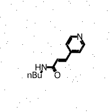 CCCCNC(=O)C=Cc1ccncc1